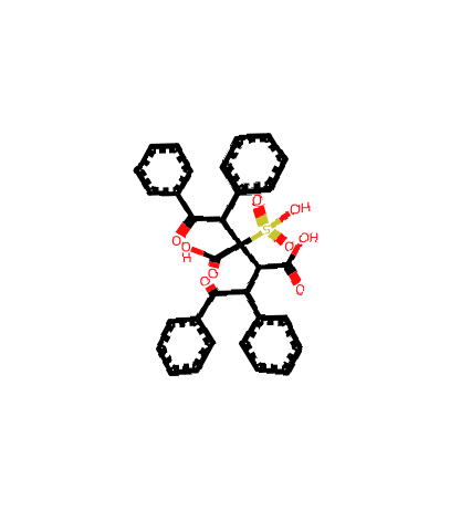 O=C(c1ccccc1)C(c1ccccc1)C(C(=O)O)C(C(=O)O)(C(C(=O)c1ccccc1)c1ccccc1)S(=O)(=O)O